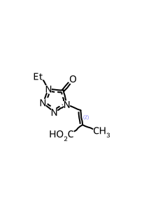 CCn1nnn(/C=C(/C)C(=O)O)c1=O